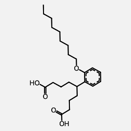 CCCCCCCCCOc1ccccc1C(CCCC(=O)O)CCCC(=O)O